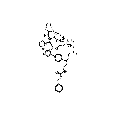 CCCN(CCNC(=O)OCc1ccccc1)c1ccc(-c2cnc([C@@H]3CCCN3C(=O)[C@@H](NC(=O)OC)C(C)C)n2COCC[Si](C)(C)C)cc1